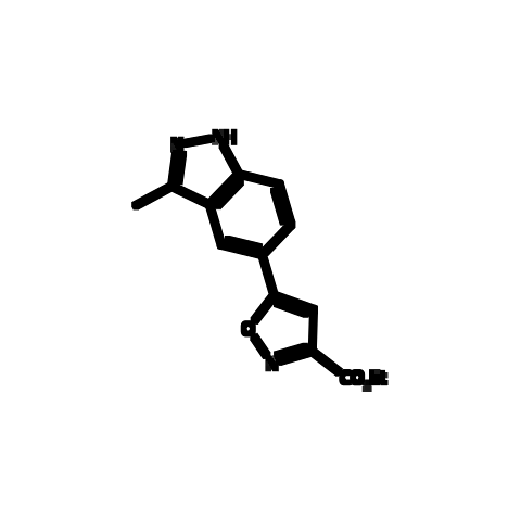 CCOC(=O)c1cc(-c2ccc3[nH]nc(C)c3c2)on1